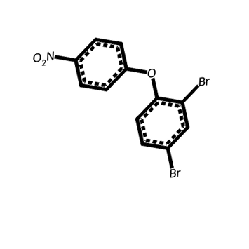 O=[N+]([O-])c1ccc(Oc2ccc(Br)cc2Br)cc1